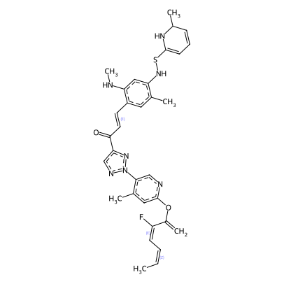 C=C(Oc1cc(C)c(-n2ncc(C(=O)/C=C/c3cc(C)c(NSC4=CC=CC(C)N4)cc3NC)n2)cn1)/C(F)=C\C=C/C